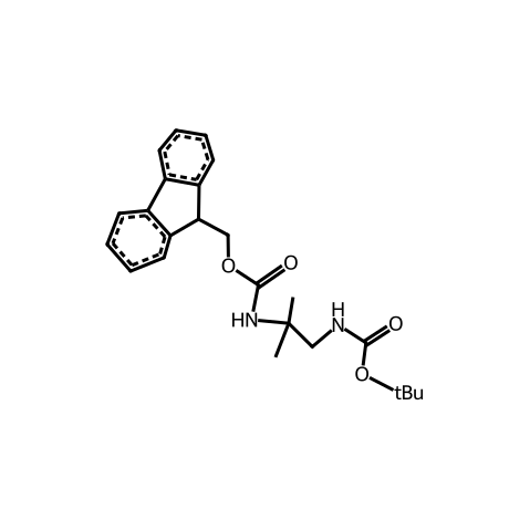 CC(C)(CNC(=O)OC(C)(C)C)NC(=O)OCC1c2ccccc2-c2ccccc21